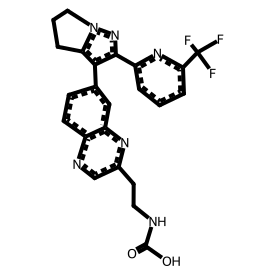 O=C(O)NCCc1cnc2ccc(-c3c(-c4cccc(C(F)(F)F)n4)nn4c3CCC4)cc2n1